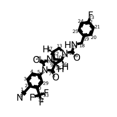 N#Cc1ccc(N2C(=O)[C@H]3[C@@H]4C[C@@H](CN4C(=O)NCc4ccc(F)cc4)N3C2=O)cc1C(F)(F)F